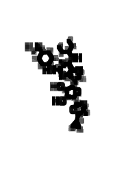 CCC(CC)Nc1nc(N[C@H]2CC[C@H](N)CC2)nc2c1ncn2[C@@H]1O[C@H](c2nnc(C3CC3)o2)[C@@H](O)[C@H]1O